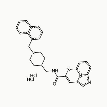 Cl.Cl.O=C(NCC1CCN(Cc2cccc3ccccc23)CC1)C1=Cc2cnc3cccc(n23)S1